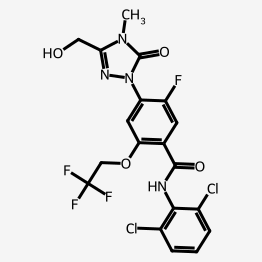 Cn1c(CO)nn(-c2cc(OCC(F)(F)F)c(C(=O)Nc3c(Cl)cccc3Cl)cc2F)c1=O